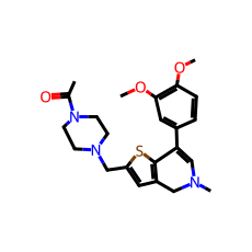 COc1ccc(C2=CN(C)Cc3cc(CN4CCN(C(C)=O)CC4)sc32)cc1OC